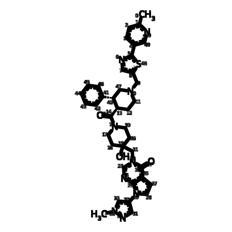 Cc1ccc(-c2ncc(CN3CC[C@@H](C(=O)N4CCC(O)(Cn5cnc6c(ccn6-c6cnn(C)c6)c5=O)CC4)[C@H](c4ccccc4)C3)s2)cn1